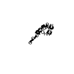 COCCOCCOc1ccc2c(c1)C(=O)N(c1ccc(C(=O)Nc3cnccc3N3CCNCC3)o1)C2